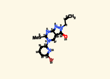 C=CCn1nc2nc(SC)n(-c3cccc(Br)n3)cc-2c1=O